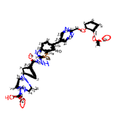 CC(=O)O[C@H]1CCC[C@@H]1OCc1ncc(-c2ccc3nc(NC(=O)C4CC(N5CCN(C(=O)O)C[C@@H]5C)C4)sc3c2)cn1